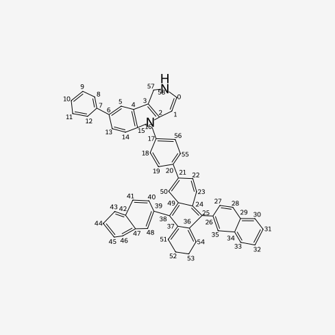 C1=Cc2c(c3cc(-c4ccccc4)ccc3n2-c2ccc(-c3ccc4c(-c5ccc6ccccc6c5)c5c(c(-c6ccc7ccccc7c6)c4c3)=CCCC=5)cc2)CN1